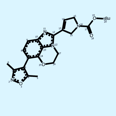 Cc1noc(C)c1-c1ccc2nc(C3=CCN(C(=O)OC(C)(C)C)C3)n3c2c1OCC3